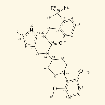 COc1ncnc(OC)c1N1CCC(N2Cc3cn(C)nc3N(Cc3ccccc3C(F)(F)F)C2=O)CC1